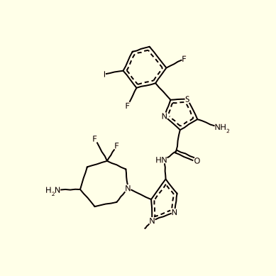 Cn1ncc(NC(=O)c2nc(-c3c(F)ccc(I)c3F)sc2N)c1N1CCC(N)CC(F)(F)C1